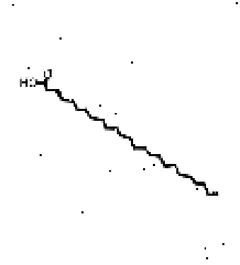 CCCCCCCCCCCCCCCCCCCCCC=CCC(=O)O